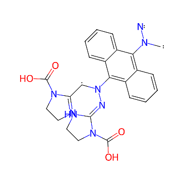 [CH]N([N])c1c2ccccc2c(N([CH]C2=NCCN2C(=O)O)N=C2NCCN2C(=O)O)c2ccccc12